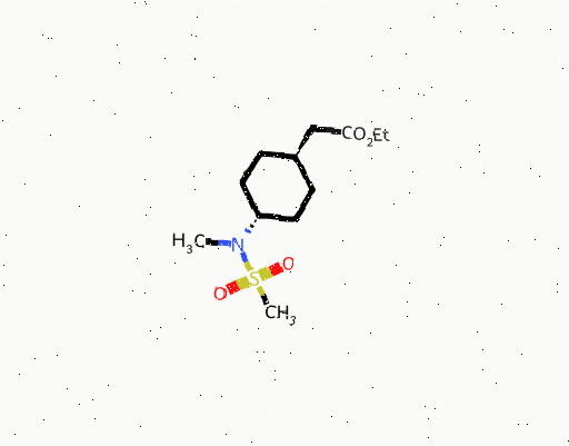 CCOC(=O)C[C@H]1CC[C@H](N(C)S(C)(=O)=O)CC1